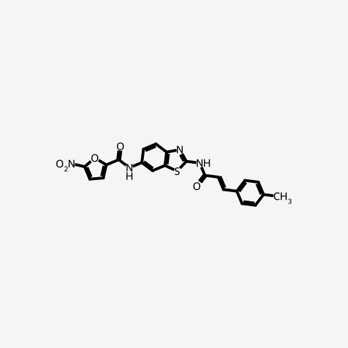 Cc1ccc(C=CC(=O)Nc2nc3ccc(NC(=O)c4ccc([N+](=O)[O-])o4)cc3s2)cc1